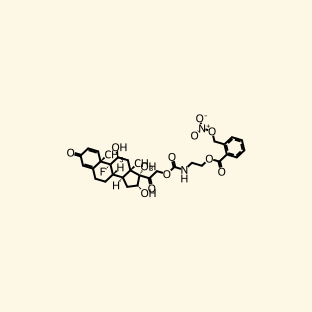 C[C@]12C=CC(=O)C=C1CC[C@H]1[C@@H]3C[C@@H](O)[C@](O)(C(=O)COC(=O)NCCOC(=O)c4ccccc4CO[N+](=O)[O-])[C@@]3(C)C[C@H](O)[C@@]12F